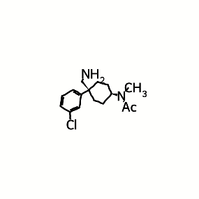 CC(=O)N(C)[C@H]1CC[C@](CN)(c2cccc(Cl)c2)CC1